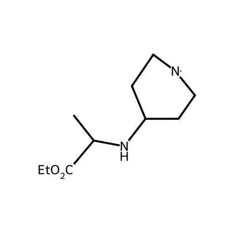 CCOC(=O)C(C)NC1CC[N]CC1